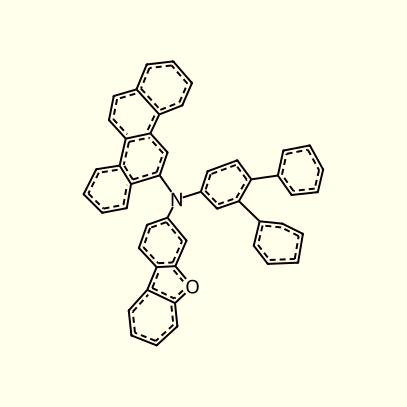 c1ccc(-c2ccc(N(c3ccc4c(c3)oc3ccccc34)c3cc4c5ccccc5ccc4c4ccccc34)cc2-c2ccccc2)cc1